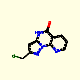 O=c1[nH]c2cc(CCl)nn2c2ncccc12